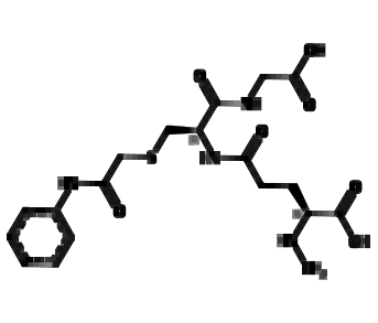 BN[C@@H](CCC(=O)N[C@@H](CSCC(=O)Nc1ccccc1)C(=O)NCC(=O)O)C(=O)O